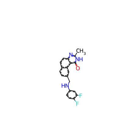 Cc1nc2ccc3ccc(CNc4ccc(F)c(F)c4)cc3c2c(=O)[nH]1